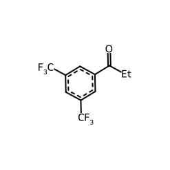 CCC(=O)c1cc(C(F)(F)F)cc(C(F)(F)F)c1